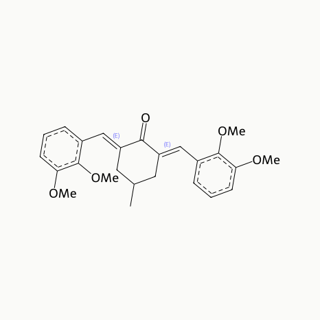 COc1cccc(/C=C2\CC(C)C/C(=C\c3cccc(OC)c3OC)C2=O)c1OC